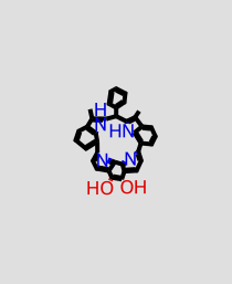 Cc1c2[nH]c3c(cccc13)-c1ccc3c(O)c(O)c4ccc(nc4c3n1)-c1cccc3c(C)c([nH]c13)C2c1ccccc1